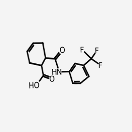 O=C(O)C1CC=CCC1C(=O)Nc1cccc(C(F)(F)F)c1